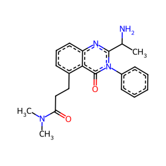 CC(N)c1nc2cccc(CCC(=O)N(C)C)c2c(=O)n1-c1ccccc1